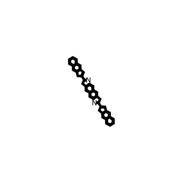 C1=C(C2=Nc3cc4cc5c(cc4cc3C2)N=C(C2=Cc3cc4ccccc4cc3C2)C5)Cc2cc3ccccc3cc21